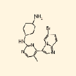 Cc1cnc(NC2CCC(N)CC2)nc1-c1cnc2ccc(Br)cn12